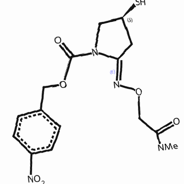 CNC(=O)CO/N=C1\C[C@H](S)CN1C(=O)OCc1ccc([N+](=O)[O-])cc1